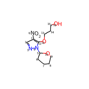 O=[N+]([O-])c1cnn(C2CCCCO2)c1OCCCO